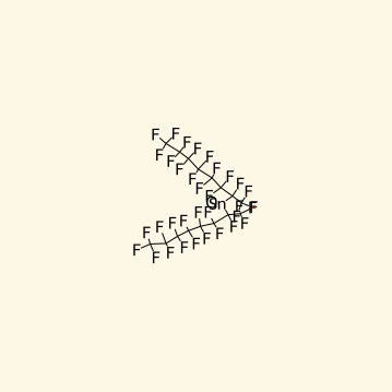 [O]=[Sn]([C](F)(C(F)(F)F)C(F)(F)C(F)(F)C(F)(F)C(F)(F)C(F)(F)C(F)(F)F)[C](F)(C(F)(F)F)C(F)(F)C(F)(F)C(F)(F)C(F)(F)C(F)(F)C(F)(F)F